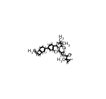 Cc1cc(-c2ccc3c(cnn3C)c2)ccc1C1=NC(C)(C)C(=O)N1CC1CN(C(=O)C2(C)CC2)C1